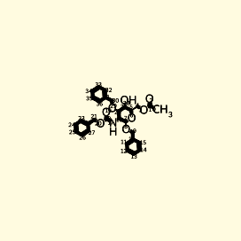 CC(=O)OC[C@H]1O[C@H](OCc2ccccc2)[C@H](NC(=O)OCc2ccccc2)[C@@H](OCc2ccccc2)[C@@H]1O